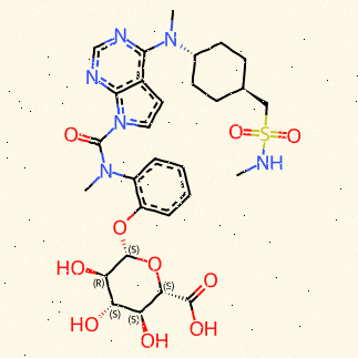 CNS(=O)(=O)C[C@H]1CC[C@H](N(C)c2ncnc3c2ccn3C(=O)N(C)c2ccccc2O[C@@H]2O[C@H](C(=O)O)[C@@H](O)[C@H](O)[C@H]2O)CC1